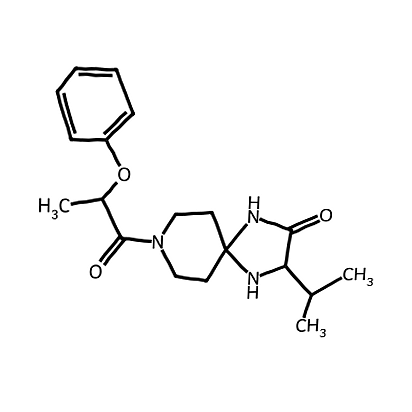 CC(Oc1ccccc1)C(=O)N1CCC2(CC1)NC(=O)C(C(C)C)N2